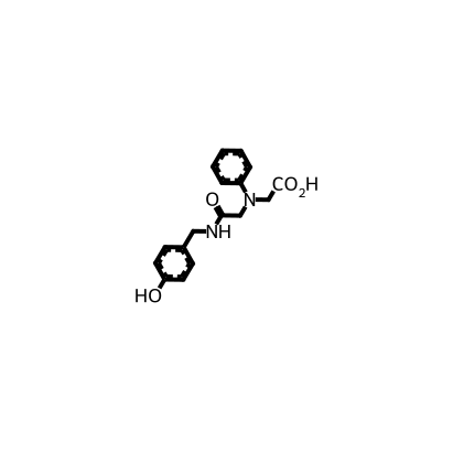 O=C(O)CN(CC(=O)NCc1ccc(O)cc1)c1ccccc1